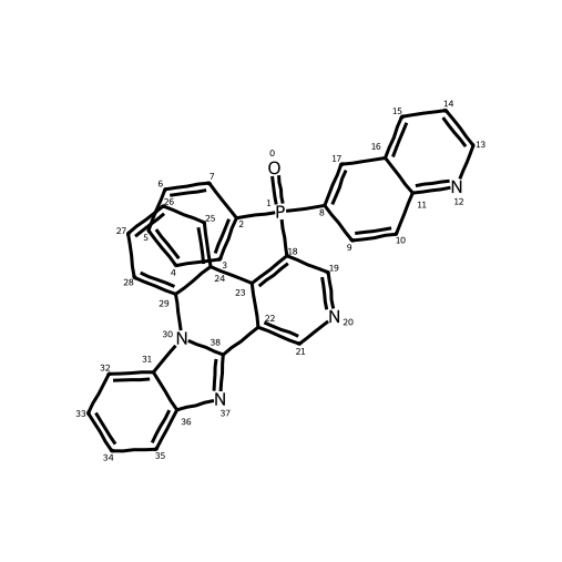 O=P(c1ccccc1)(c1ccc2ncccc2c1)c1cncc2c1c1ccccc1n1c3ccccc3nc21